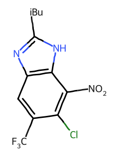 CCC(C)c1nc2cc(C(F)(F)F)c(Cl)c([N+](=O)[O-])c2[nH]1